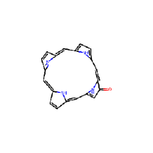 O=C1C=C2C=c3ccc([nH]3)=CC3=NC(=Cc4ccc([nH]4)C=C1N2)C=C3